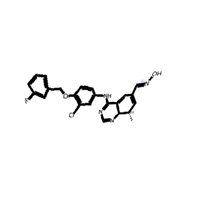 C[C@H]1C=C(/C=N/O)C=C2C(Nc3ccc(OCc4cccc(F)c4)c(Cl)c3)=NC=NC21